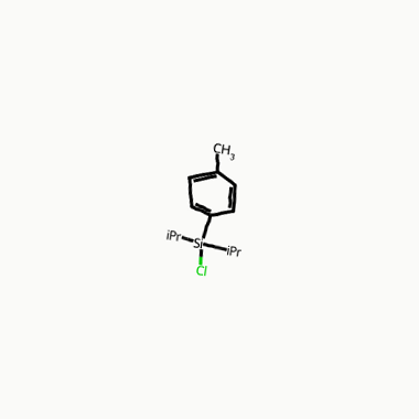 Cc1ccc([Si](Cl)(C(C)C)C(C)C)cc1